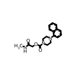 CNC(=O)COC(=O)N1CCN(c2cccc3ccccc23)CC1